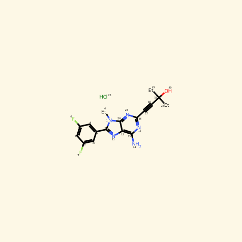 CCn1c(-c2cc(F)cc(F)c2)nc2c(N)nc(C#CC(O)(CC)CC)nc21.Cl